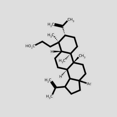 C=C(C)C1CCC2(C(C)=O)CC[C@]3(C)[C@H](CC[C@@H]4[C@@](C)(CCC(=O)O)[C@H](C(=C)C)CC[C@]43C)C12